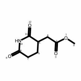 COC(=O)CC1CCC(=O)NC1=O